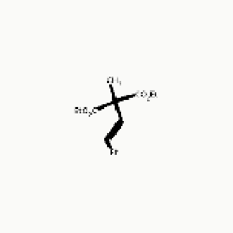 CCC=CC(C)(C(=O)OCC)C(=O)OCC